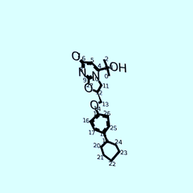 CC(C)(O)c1cc(=O)nc2n1C[C@@H](COc1ccc(C3CCCCC3)cc1)O2